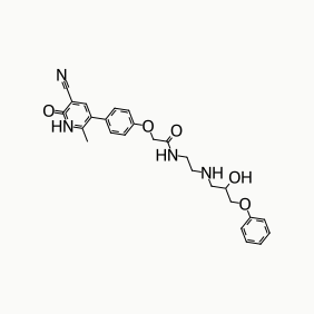 Cc1[nH]c(=O)c(C#N)cc1-c1ccc(OCC(=O)NCCNCC(O)COc2ccccc2)cc1